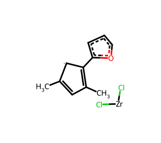 CC1=CC(C)=C(c2ccco2)[CH]1.[Cl][Zr][Cl]